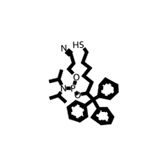 CC(C)N(C(C)C)P(OCCC#N)OC(CCCCCS)C(c1ccccc1)(c1ccccc1)c1ccccc1